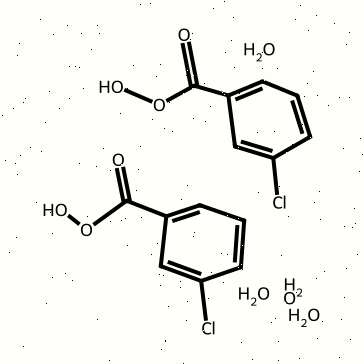 O.O.O.O.O=C(OO)c1cccc(Cl)c1.O=C(OO)c1cccc(Cl)c1